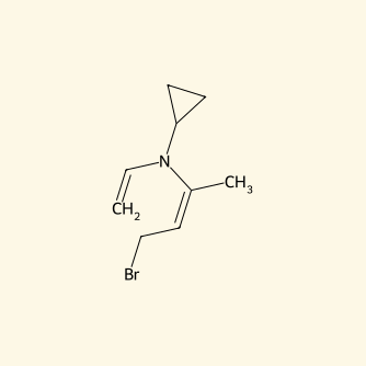 C=CN(/C(C)=C\CBr)C1CC1